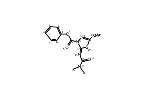 CSc1nn(C(=O)Oc2ccccc2)c(=NC(=O)N(C)C)s1